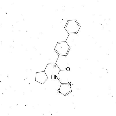 O=C(Nc1nccs1)[C@H](CC1CCCC1)c1ccc(-c2ccccc2)cc1